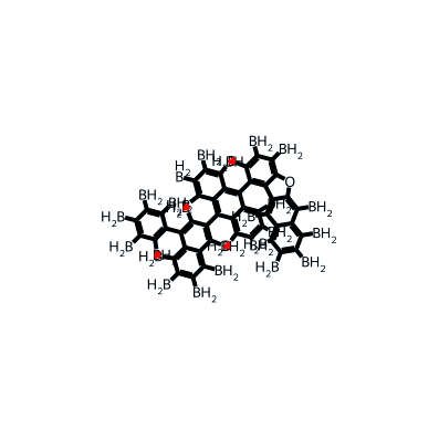 Bc1c(B)c(B)c(-c2c(B)c(-c3c4c(B)c(B)c(B)c(B)c4c(-c4c(B)c(B)c(B)c5oc6c(B)c7c(B)c(B)c(B)c(B)c7c(B)c6c45)c4c(B)c(B)c(B)c(B)c34)c(B)c3c(B)c(B)c(B)c(B)c23)c(B)c1B